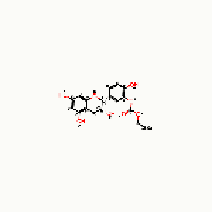 CC(C)(C)COC(=O)Oc1cc([C@H]2Oc3cc(O)cc(O)c3C[C@H]2O)ccc1O